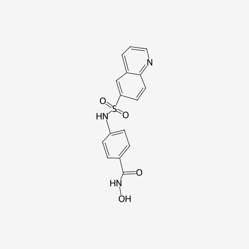 O=C(NO)c1ccc(NS(=O)(=O)c2ccc3ncccc3c2)cc1